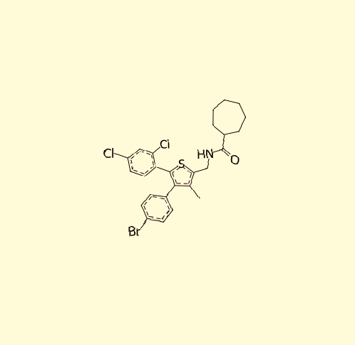 Cc1c(CNC(=O)C2CCCCCC2)sc(-c2ccc(Cl)cc2Cl)c1-c1ccc(Br)cc1